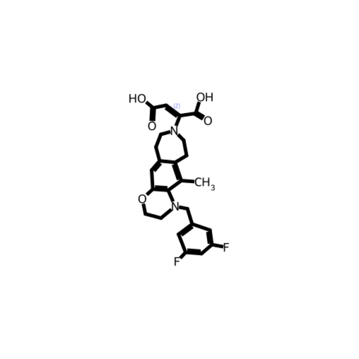 Cc1c2c(cc3c1N(Cc1cc(F)cc(F)c1)CCO3)CCN(/C(=C\C(=O)O)C(=O)O)CC2